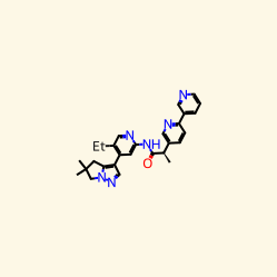 CCc1cnc(NC(=O)[C@H](C)c2ccc(-c3cccnc3)nc2)cc1-c1cnn2c1CC(C)(C)C2